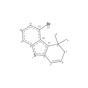 CC1(C)CC=Cc2sc3cccc(Br)c3c21